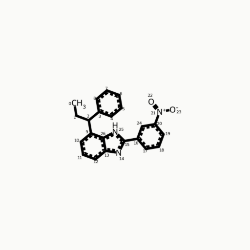 CCC(c1ccccc1)c1cccc2nc(-c3cccc([N+](=O)[O-])c3)[nH]c12